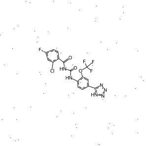 O=C(NC(=O)c1ccc(F)cc1Cl)Nc1ccc(-c2nnn[nH]2)cc1OC(F)(F)F